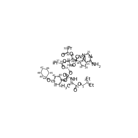 CCC(CC)COC(=O)[C@H](C)NP(=O)(OC[C@H]1O[C@@](C#N)(c2ccc3c(N)ncnn23)[C@H](OC(=O)C(C)C)[C@@H]1OC(=O)C(C)C)Oc1ccc(OC2CCCCC2)cc1